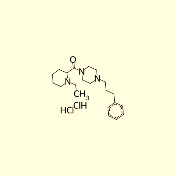 CCN1CCCCC1C(=O)N1CCN(CCCc2ccccc2)CC1.Cl.Cl